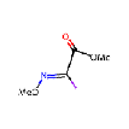 CON=C(I)C(=O)OC